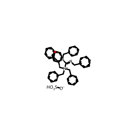 O=S(=O)([O-])O.c1ccc(CN=C(N(Cc2ccccc2)Cc2ccccc2)[N+](Cc2ccccc2)(Cc2ccccc2)Cc2ccccc2)cc1